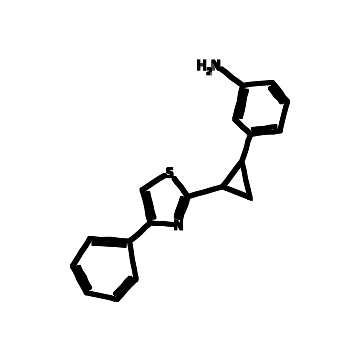 Nc1cccc(C2CC2c2nc(-c3ccccc3)cs2)c1